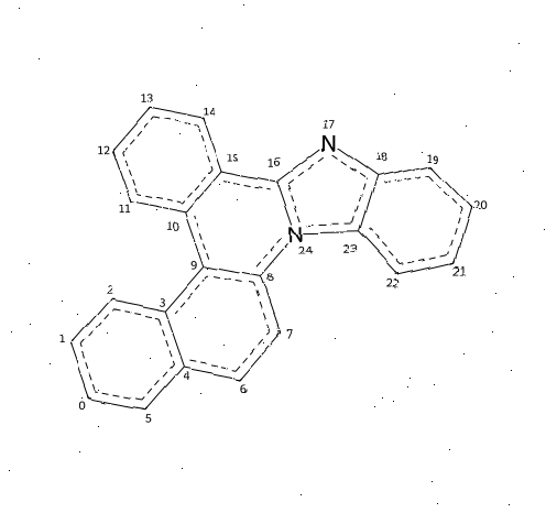 c1ccc2c(c1)ccc1c2c2ccccc2c2nc3ccccc3n12